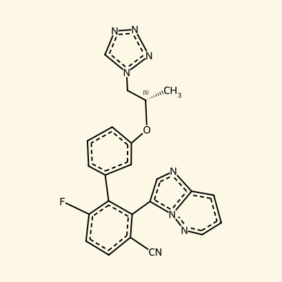 C[C@@H](Cn1cnnn1)Oc1cccc(-c2c(F)ccc(C#N)c2-c2cnc3cccnn23)c1